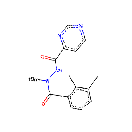 Cc1cccc(C(=O)N(NC(=O)c2ccncn2)C(C)(C)C)c1C